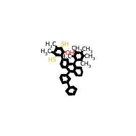 Cc1c(C)c(C)c(-c2c3c(c(-c4cccc(-c5ccccc5)c4)c4ccc(-c5c(O)c(S)c(C)c(C)c5S)cc24)=CCCC=3)c(C)c1C